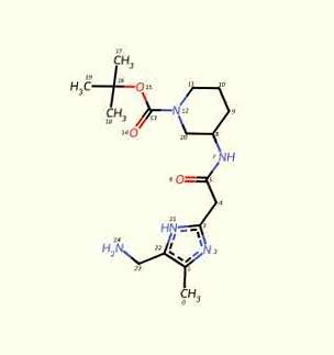 Cc1nc(CC(=O)NC2CCCN(C(=O)OC(C)(C)C)C2)[nH]c1CN